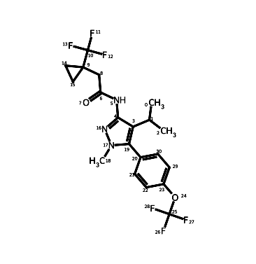 CC(C)c1c(NC(=O)CC2(C(F)(F)F)CC2)nn(C)c1-c1ccc(OC(F)(F)F)cc1